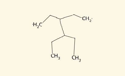 [CH2]CC(C[CH2])C(CC)CC